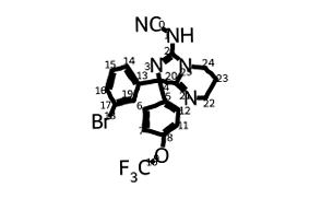 N#CNC1=NC(c2ccc(OC(F)(F)F)cc2)(c2cccc(Br)c2)C2=NCCCN12